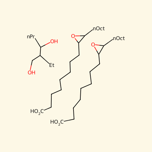 CCCC(O)C(CC)CO.CCCCCCCCC1OC1CCCCCCCC(=O)O.CCCCCCCCC1OC1CCCCCCCC(=O)O